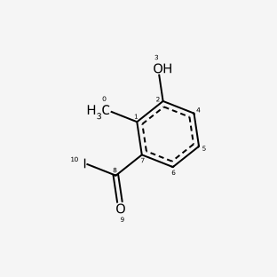 Cc1c(O)cccc1C(=O)I